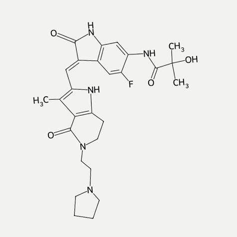 Cc1c(/C=C2/C(=O)Nc3cc(NC(=O)C(C)(C)O)c(F)cc32)[nH]c2c1C(=O)N(CCN1CCCC1)CC2